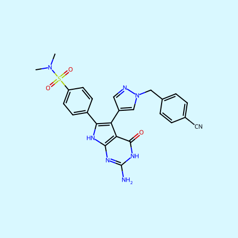 CN(C)S(=O)(=O)c1ccc(-c2[nH]c3nc(N)[nH]c(=O)c3c2-c2cnn(Cc3ccc(C#N)cc3)c2)cc1